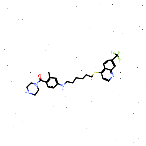 Cc1cc(NCCCCCCSc2ccnc3cc(C(F)(F)F)ccc23)ccc1C(=O)N1CCNCC1